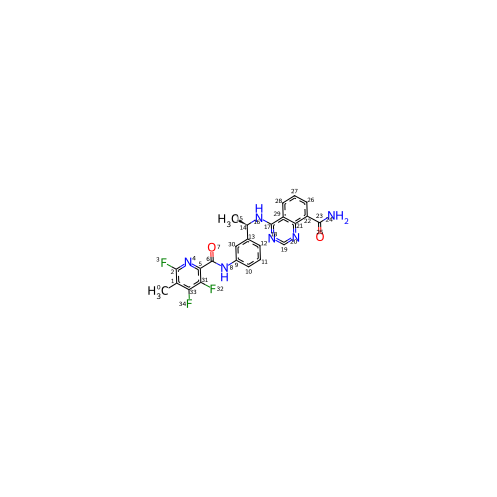 Cc1c(F)nc(C(=O)Nc2cccc([C@@H](C)Nc3ncnc4c(C(N)=O)cccc34)c2)c(F)c1F